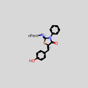 CCCCC/N=C1\S/C(=C\c2ccc(O)cc2)C(=O)N1c1ccccc1